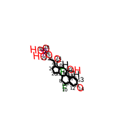 CC12CC(O)[C@@]3(F)C(C[C@H](F)C4=CC(=O)C=C[C@@]43C)C1CCC2C(=O)COP(=O)(O)O